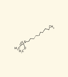 CCCCCCCCCC[SiH2]C(OC)OC